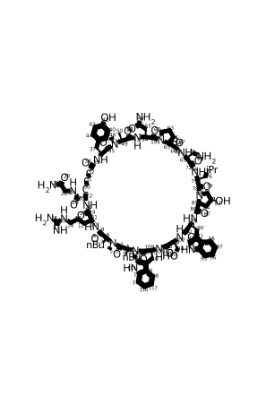 CCCC[C@H]1C(=O)N(C)[C@@H](CCCC)C(=O)NC(CCCNC(=N)N)C(=O)N[C@H](C(=O)NCC(N)=O)CCCC(=O)N[C@@H](Cc2ccc(O)cc2)C(=O)N(C)[C@@H](C)C(=O)N[C@@H](CC(N)=O)C(=O)N2CCC[C@H]2C(=O)N[C@@H](CN)C(=O)N[C@@H](CC(C)C)C(=O)N2C[C@H](O)CC2C(=O)N[C@@H](Cc2c[nH]c3ccccc23)C(=O)N[C@@H](CO)C(=O)N[C@@H](Cc2c[nH]c3ccccc23)C(=O)N1C